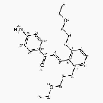 CCOCCCc1cccc(CCCOCC)c1C=CC(=O)c1ccc(N)cc1